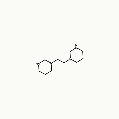 C1CNCN(CCN2CCCNC2)C1